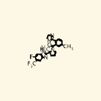 Cc1ccc(-n2nccn2)c(C(=O)N2CCCC2(C)c2nc3cc(C(F)(F)F)c(F)cc3[nH]2)c1